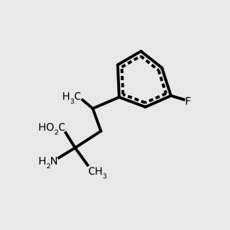 CC(CC(C)(N)C(=O)O)c1cccc(F)c1